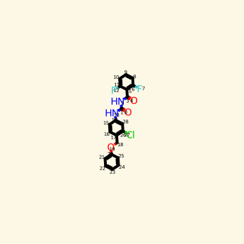 O=C(NC(=O)c1c(F)cccc1F)Nc1ccc(COc2ccccc2)c(Cl)c1